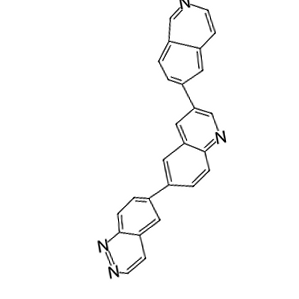 c1cc2cc(-c3cnc4ccc(-c5ccc6nnccc6c5)cc4c3)ccc2cn1